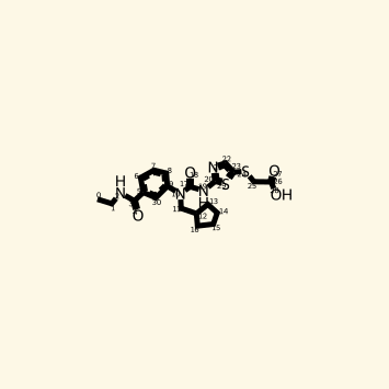 CCNC(=O)c1cccc(N(CC2CCCC2)C(=O)Nc2ncc(SCC(=O)O)s2)c1